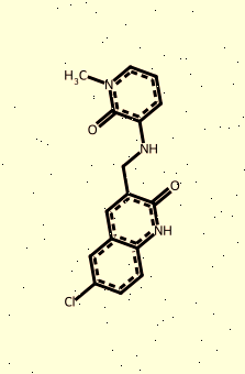 Cn1cccc(NCc2cc3cc(Cl)ccc3[nH]c2=O)c1=O